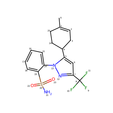 CC1=CCC(c2cc(C(F)(F)F)nn2-c2ccccc2S(N)(=O)=O)CC1